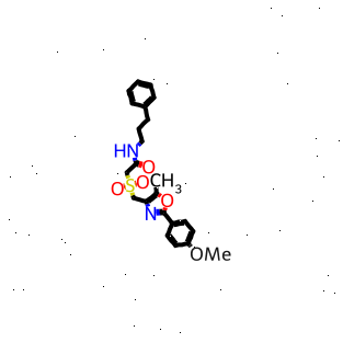 COc1ccc(-c2nc(CS(=O)(=O)CC(=O)NCCCc3ccccc3)c(C)o2)cc1